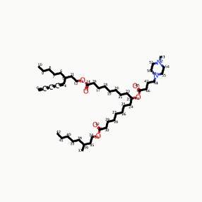 C=C=C=C=CC(CCCCC)CCOC(=O)CCCCCCCC(CCCCCCCC(=O)OCCC(C)CCCCC)OC(=O)CCCN1CCN(C)CC1